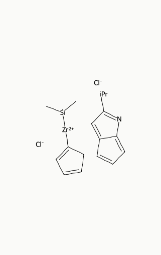 CC(C)C1=NC2=CC=CC2=C1.C[Si](C)[Zr+2][C]1=CC=CC1.[Cl-].[Cl-]